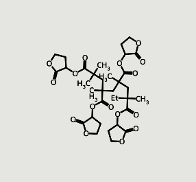 CCC(C)(CC(C)(CC(C)(CC(C)(C)C(=O)OC1CCOC1=O)C(=O)OC1CCOC1=O)C(=O)OC1CCOC1=O)C(=O)OC1CCOC1=O